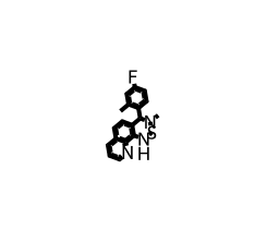 Cc1cc(F)ccc1C1c2ccc3cccnc3c2NSN1C